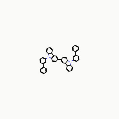 C1=CC2c3cc(C4=CC5C6C=CC=CC6N(c6cccc(-c7ccccc7)c6)C5C=C4)ccc3N(c3cccc(-c4ccccc4)c3)C2C=C1